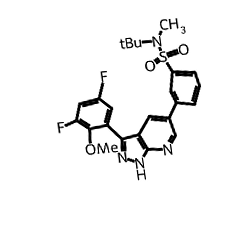 COc1c(F)cc(F)cc1-c1n[nH]c2ncc(-c3cccc(S(=O)(=O)N(C)C(C)(C)C)c3)cc12